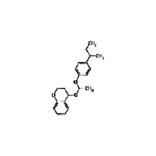 CCC(C)c1ccc(OC(C)OC2CCOc3ccccc32)cc1